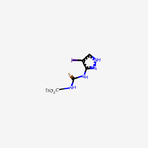 CCOC(=O)NC(=S)Nc1n[nH]cc1I